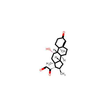 C[C@@H]1C[C@H]2[C@@H]3CCC4=CC(=O)CC[C@]4(C)[C@H]3[C@@H](O)C[C@]2(C)[C@H]1C(=O)C=O